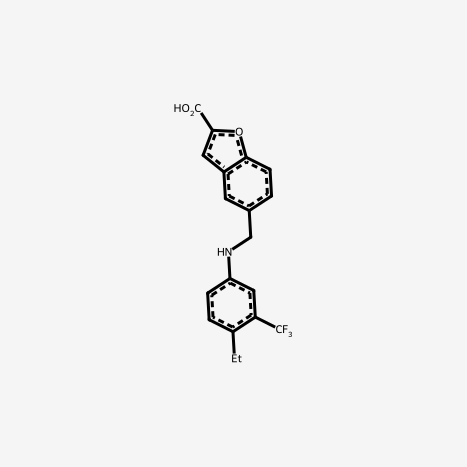 CCc1ccc(NCc2ccc3oc(C(=O)O)cc3c2)cc1C(F)(F)F